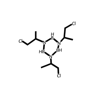 CC(CCl)N1BN(C(C)CCl)BN(C(C)CCl)B1